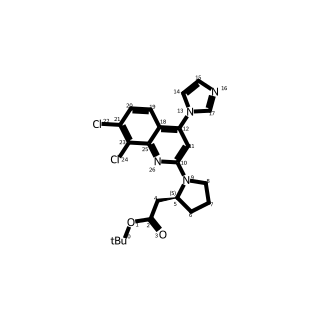 CC(C)(C)OC(=O)C[C@@H]1CCCN1c1cc(-n2ccnc2)c2ccc(Cl)c(Cl)c2n1